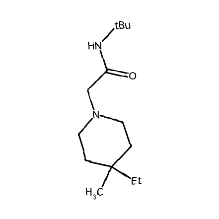 CCC1(C)CCN(CC(=O)NC(C)(C)C)CC1